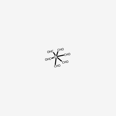 O=[CH][Cr]([CH]=O)([CH]=O)([CH]=O)([CH]=O)[CH]=O